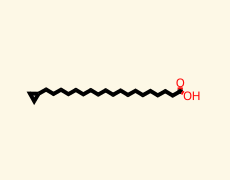 O=C(O)CCCCCCCCCCCCCCCCCCC1CC1